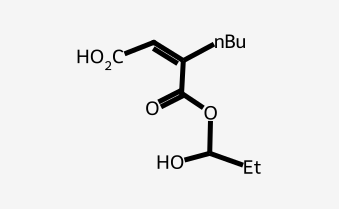 CCCCC(=CC(=O)O)C(=O)OC(O)CC